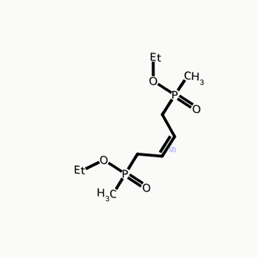 CCOP(C)(=O)C/C=C\CP(C)(=O)OCC